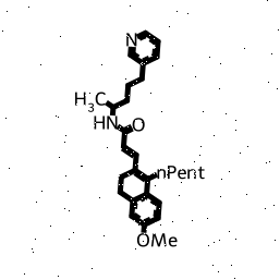 CCCCCC1=C(/C=C/C(=O)NC(C)CCCc2cccnc2)CCc2cc(OC)ccc21